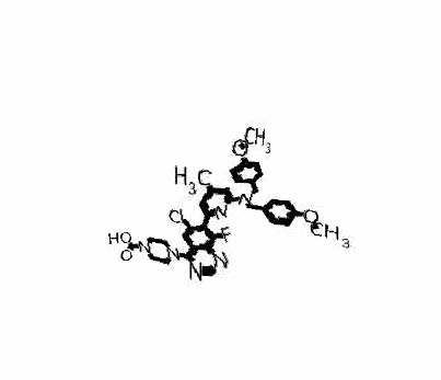 COc1ccc(CN(Cc2ccc(OC)cc2)c2cc(C)cc(-c3c(Cl)cc4c(N5CCN(C(=O)O)CC5)ncnc4c3F)n2)cc1